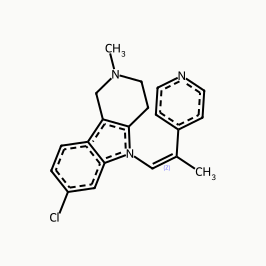 C/C(=C/n1c2c(c3ccc(Cl)cc31)CN(C)CC2)c1ccncc1